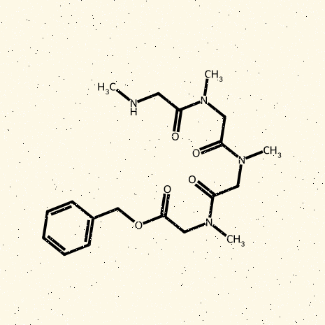 CNCC(=O)N(C)CC(=O)N(C)CC(=O)N(C)CC(=O)OCc1ccccc1